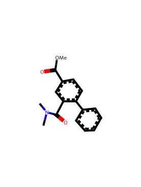 COC(=O)c1ccc(-c2ccccc2)c(C(=O)N(C)C)c1